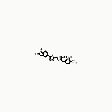 O=C(O)N[C@H](CCc1nnc(-c2ccc3c(c2)CC(=O)N3)s1)Cc1ccc(C(F)(F)F)nc1